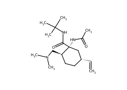 C=C[C@@H]1CC[C@@H](CN(C)C)[C@@](NC(C)=O)(C(=O)NC(C)(C)C)C1